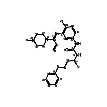 C=C/C(=N\c1nc(NC(=O)NC(C)CCCc2ccccc2)ccc1C)N1CCN(C)CC1